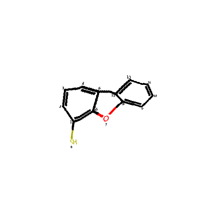 Sc1cccc2c1oc1ccccc12